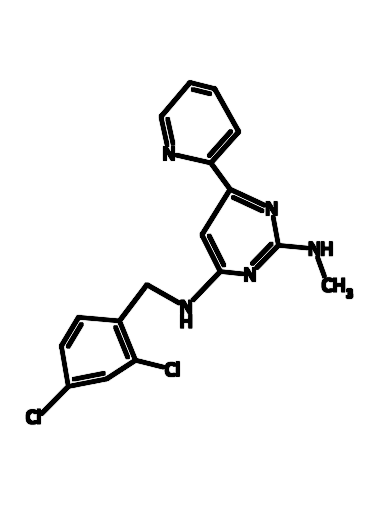 CNc1nc(NCc2ccc(Cl)cc2Cl)cc(-c2ccccn2)n1